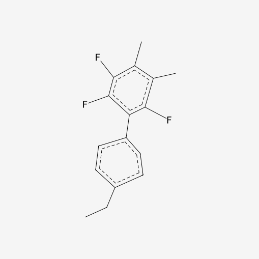 CCc1ccc(-c2c(F)c(C)c(C)c(F)c2F)cc1